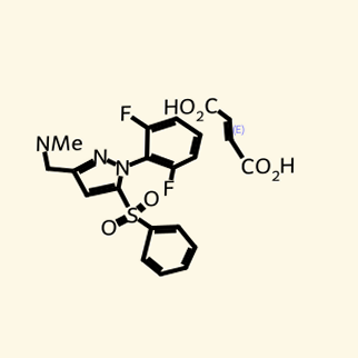 CNCc1cc(S(=O)(=O)c2ccccc2)n(-c2c(F)cccc2F)n1.O=C(O)/C=C/C(=O)O